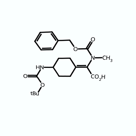 CN(C(=O)OCc1ccccc1)C(C(=O)O)=C1CCC(NC(=O)OC(C)(C)C)CC1